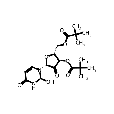 CC(C)(C)C(=O)OC[C@H]1O[C@@H](N2C=CC(=O)NC2O)C(=O)[C@@H]1OC(=O)C(C)(C)C